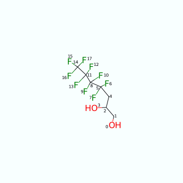 OCC(O)CC(F)(F)C(F)(F)C(F)(F)C(F)(F)F